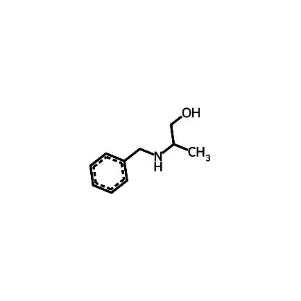 CC(CO)NCc1ccccc1